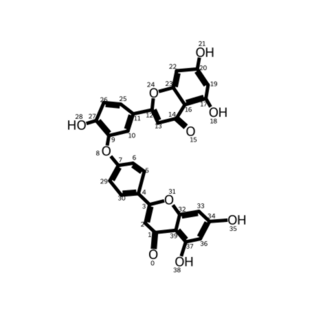 O=c1cc(-c2ccc(Oc3cc(-c4cc(=O)c5c(O)cc(O)cc5o4)ccc3O)cc2)oc2cc(O)cc(O)c12